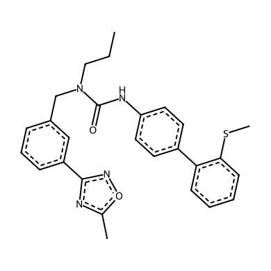 CCCN(Cc1cccc(-c2noc(C)n2)c1)C(=O)Nc1ccc(-c2ccccc2SC)cc1